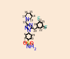 NS(=O)(=O)c1ccc(-n2nc(CN3CC=CCC3)nc2Cc2cc(F)cc(F)c2)cc1